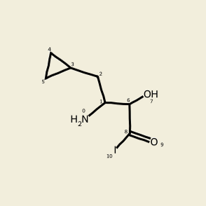 NC(CC1CC1)C(O)C(=O)I